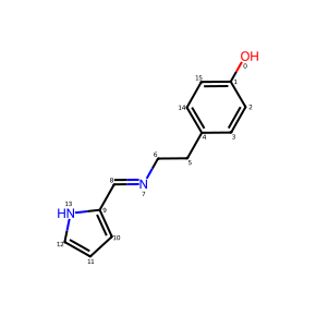 Oc1ccc(CC/N=C/c2ccc[nH]2)cc1